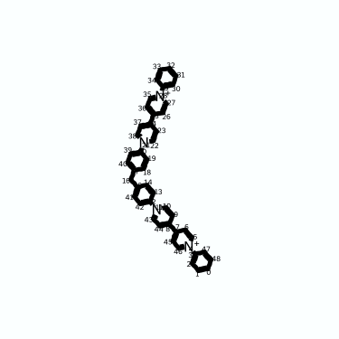 c1ccc(-[n+]2ccc(-c3cc[n+](-c4ccc(Cc5ccc(-[n+]6ccc(-c7cc[n+](-c8ccccc8)cc7)cc6)cc5)cc4)cc3)cc2)cc1